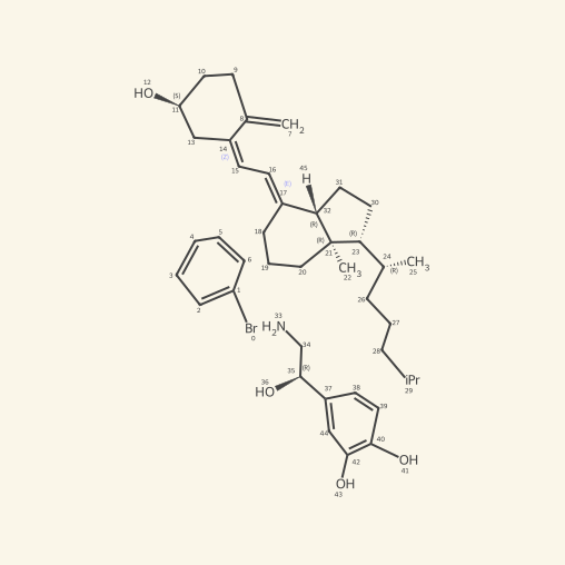 Brc1ccccc1.C=C1CC[C@H](O)C/C1=C/C=C1\CCC[C@]2(C)[C@@H]([C@H](C)CCCC(C)C)CC[C@@H]12.NC[C@H](O)c1ccc(O)c(O)c1